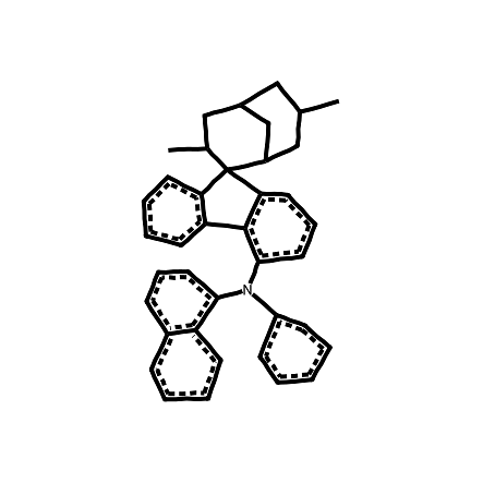 CC1CC2CC(C)C3(c4ccccc4-c4c(N(c5ccccc5)c5cccc6ccccc56)cccc43)C(C1)C2